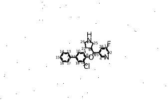 Fc1cncc([C@H](Oc2ccc(-c3ccccc3)cc2Cl)[C@H]2CCNC2)c1